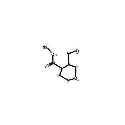 CC(C)CC1COCCN1C(=O)OC(C)(C)C